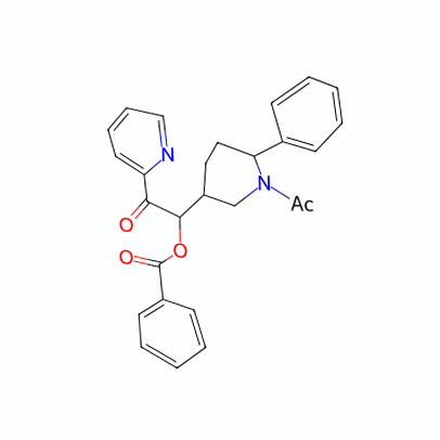 CC(=O)N1CC(C(OC(=O)c2ccccc2)C(=O)c2ccccn2)CCC1c1ccccc1